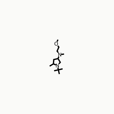 COCCN(C)C1CC(C)N(C(C)(C)C)C1